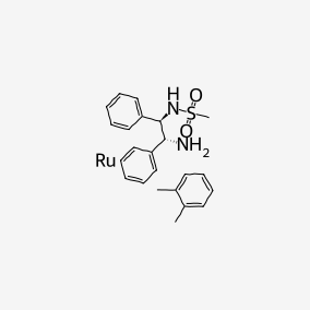 CS(=O)(=O)N[C@H](c1ccccc1)[C@H](N)c1ccccc1.Cc1ccccc1C.[Ru]